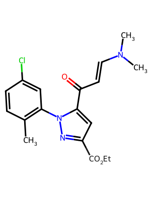 CCOC(=O)c1cc(C(=O)C=CN(C)C)n(-c2cc(Cl)ccc2C)n1